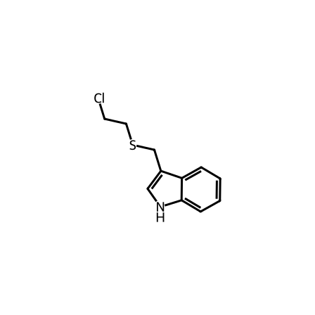 ClCCSCc1c[nH]c2ccccc12